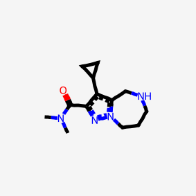 CN(C)C(=O)c1nn2c(c1C1CC1)CNCCC2